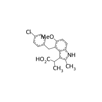 COc1ccc2[nH]c(C)c(C(C)C(=O)O)c2c1Cc1ccc(Cl)cc1